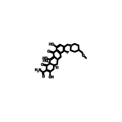 COCC1CCN(Cc2cc(O)c3c(c2F)CC2C[C@H]4CC(O)=C(C(N)=O)C(=O)[C@@]4(O)C(O)=C2C3=O)CC1